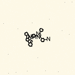 N#Cc1cccc(C2=CC(c3ccccc3)=NC(c3ccc(-n4c5ccccc5c5ccc6c7ccccc7sc6c54)cc3)N2)c1